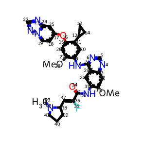 COc1cc2ncnc(Nc3cc(C4CC4)c(Oc4ccn5ncnc5c4)cc3OC)c2cc1NC(=O)C(F)=CC1CCCN1C